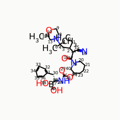 CCC(CC(C)(C)N1CCO[C@@H](C)C1)C(C#N)C(=O)N1CCCC[C@@H](OC(=O)N[C@@H](Cc2ccccc2)B(O)O)C1